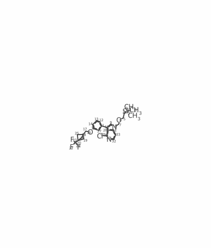 C[Si](C)(C)CCOCn1cc(-c2cccc(OCC34CC(C(F)(F)F)(C3)C4)c2)c2c(Cl)nccc21